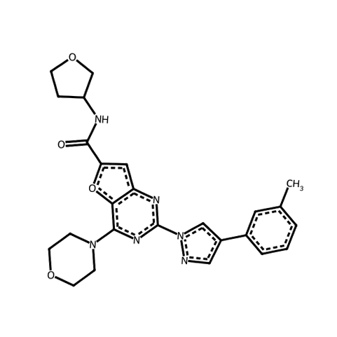 Cc1cccc(-c2cnn(-c3nc(N4CCOCC4)c4oc(C(=O)NC5CCOC5)cc4n3)c2)c1